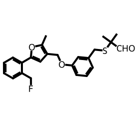 Cc1oc(-c2ccccc2CF)cc1COc1cccc(CSC(C)(C)C=O)c1